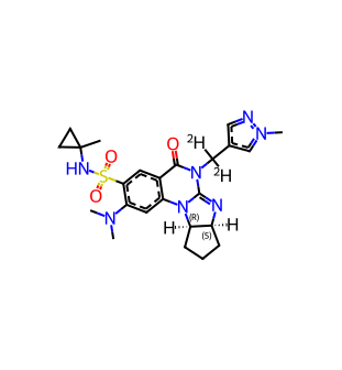 [2H]C([2H])(c1cnn(C)c1)N1C(=O)c2cc(S(=O)(=O)NC3(C)CC3)c(N(C)C)cc2N2C1=N[C@H]1CCC[C@H]12